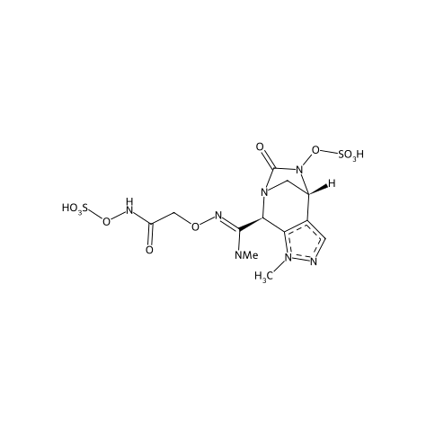 CN/C(=N\OCC(=O)NOS(=O)(=O)O)[C@@H]1c2c(cnn2C)[C@@H]2CN1C(=O)N2OS(=O)(=O)O